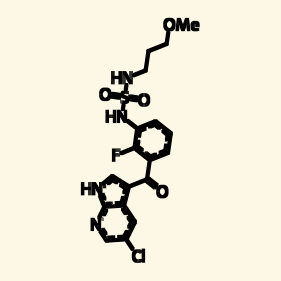 COCCCNS(=O)(=O)Nc1cccc(C(=O)c2c[nH]c3ncc(Cl)cc23)c1F